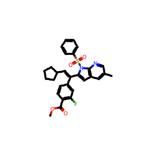 COC(=O)c1ccc(C(=CC2CCCC2)c2cc3cc(C)cnc3n2S(=O)(=O)c2ccccc2)cc1F